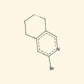 Brc1cc2c(cn1)CCCC2